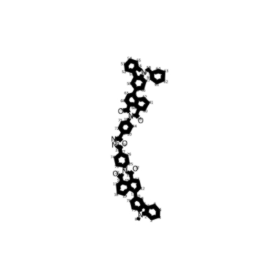 Cn1c2ccccc2c2cc(-c3ccc4c5c(cccc35)C(=O)N(c3ccc(-c5nnc(-c6ccc(N7C(=O)c8cccc9c(-c%10ccc%11c(c%10)c%10ccccc%10n%11Cc%10ccccc%10)ccc(c89)C7=O)cc6)o5)cc3)C4=O)ccc21